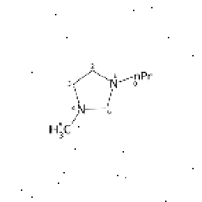 CCCN1CCN(C)C1